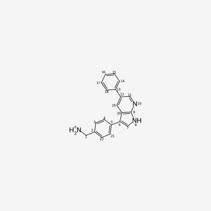 NCc1ccc(-c2c[nH]c3ncc(-c4ccccc4)cc23)cc1